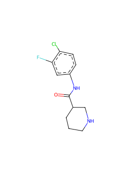 O=C(Nc1ccc(Cl)c(F)c1)C1CCCNC1